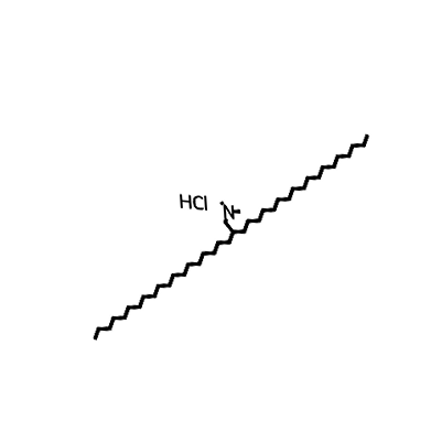 CCCCCCCCCCCCCCCCCCCC(CCCCCCCCCCCCCCCCCC)CN(C)C.Cl